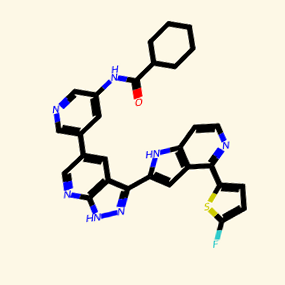 O=C(Nc1cncc(-c2cnc3[nH]nc(-c4cc5c(-c6ccc(F)s6)nccc5[nH]4)c3c2)c1)C1CCCCC1